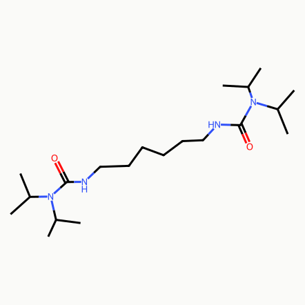 CC(C)N(C(=O)NCCCCCCNC(=O)N(C(C)C)C(C)C)C(C)C